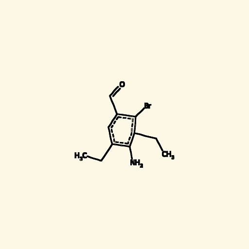 CCc1cc(C=O)c(Br)c(CC)c1N